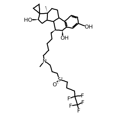 CN(CCCCC[C@H]1C2C(CC[C@@]3(C)C2C[C@@H](O)C32CC2)c2ccc(O)cc2[C@H]1O)CCC[S+]([O-])CCCC(F)(F)C(F)(F)F